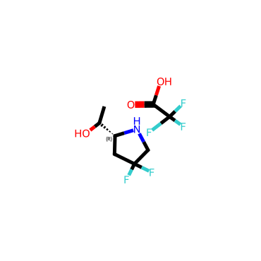 CC(O)[C@H]1CC(F)(F)CN1.O=C(O)C(F)(F)F